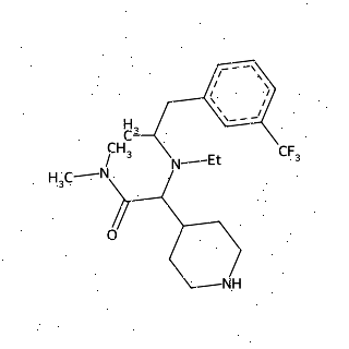 CCN(C(C)Cc1cccc(C(F)(F)F)c1)C(C(=O)N(C)C)C1CCNCC1